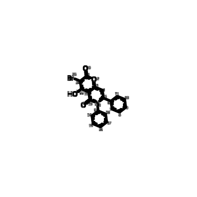 O=c1oc2cc(-c3ccccc3)n(-c3ccccc3)c(=O)c2c(O)c1Br